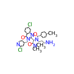 Cc1ccc(C(=O)N(CCCN)C(C(=O)N(C)C)c2nc3cc(Cl)ccc3c(=O)n2Cc2ccnc(Cl)c2)cc1